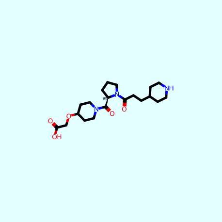 O=C(O)COC1CCN(C(=O)[C@H]2CCCN2C(=O)CCC2CCNCC2)CC1